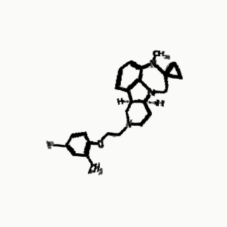 Cc1cc(F)ccc1OCCN1CC[C@H]2[C@@H](C1)c1cccc3c1N2CC1(CC1)N3C